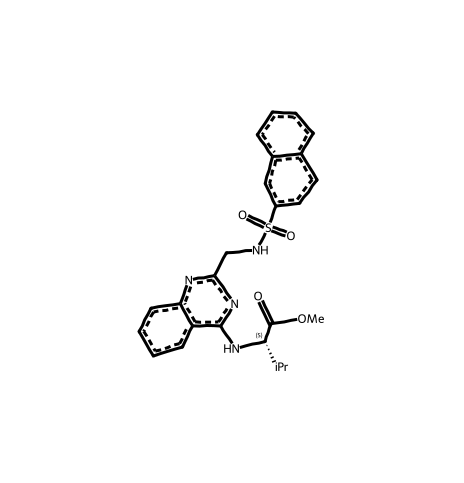 COC(=O)[C@@H](Nc1nc(CNS(=O)(=O)c2ccc3ccccc3c2)nc2ccccc12)C(C)C